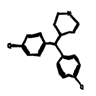 Clc1ccc(C(c2ccc(Cl)cc2)C2CC[N]CC2)cc1